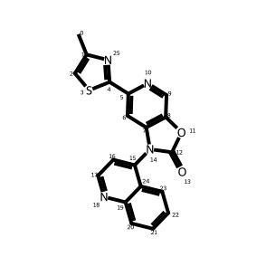 Cc1csc(-c2cc3c(cn2)oc(=O)n3-c2ccnc3ccccc23)n1